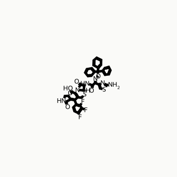 Nc1nc(C(=NOC(c2ccccc2)(c2ccccc2)c2ccccc2)C(=O)N[C@@H]2C(=O)N3C(C(=O)O)=C(C(=C4CCNC4=O)c4ccc(F)c(F)c4F)CS[C@H]23)cs1